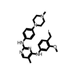 COc1cc(Nc2nc(Nc3ccc(N4CCN(C)CC4)cc3)ncc2C)ccc1CI